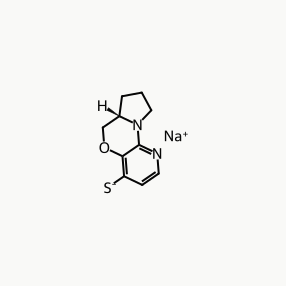 [Na+].[S-]c1ccnc2c1OC[C@@H]1CCCN21